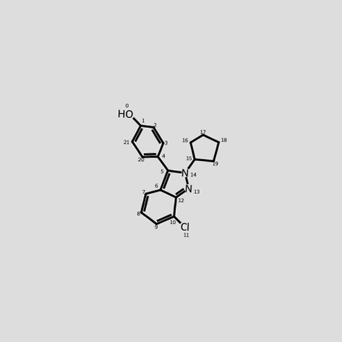 Oc1ccc(-c2c3cccc(Cl)c3nn2C2CCCC2)cc1